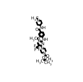 COc1cc(C(=O)NC2CCN(C)CC2)ccc1Nc1ncc(C(F)(F)F)c(N2CCN(C(=O)OC(C)(C)C)CC2)n1